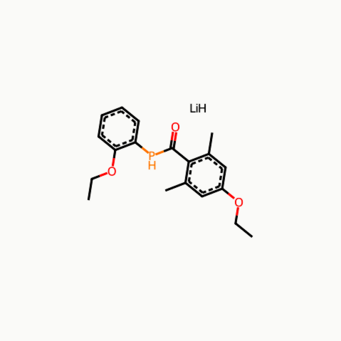 CCOc1cc(C)c(C(=O)Pc2ccccc2OCC)c(C)c1.[LiH]